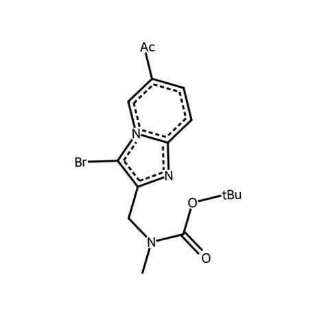 CC(=O)c1ccc2nc(CN(C)C(=O)OC(C)(C)C)c(Br)n2c1